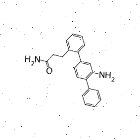 NC(=O)CCc1ccccc1-c1ccc(-c2ccccc2)c(N)c1